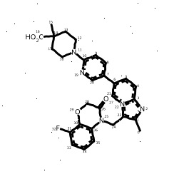 Cc1nc2ccc(-c3ccc(N4CCC(C)(C(=O)O)CC4)nc3)cn2c1CN1C(=O)COc2c(F)cccc21